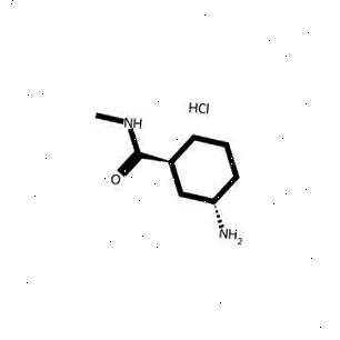 CNC(=O)[C@H]1CCC[C@H](N)C1.Cl